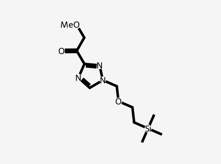 COCC(=O)c1ncn(COCC[Si](C)(C)C)n1